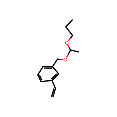 C=Cc1cccc(COC(C)OCCC)c1